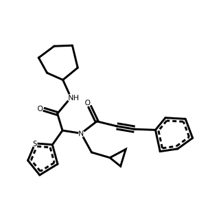 O=C(NC1CCCCC1)C(c1cccs1)N(CC1CC1)C(=O)C#Cc1ccccc1